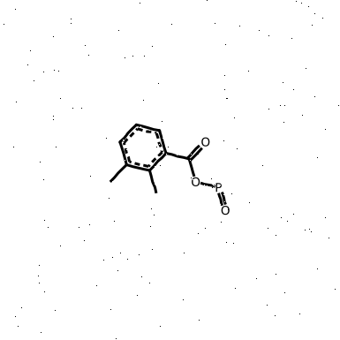 Cc1cccc(C(=O)OP=O)c1C